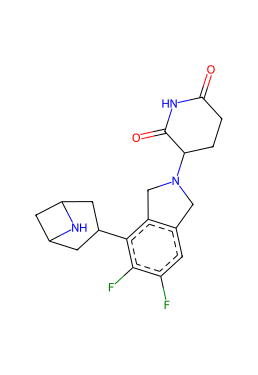 O=C1CCC(N2Cc3cc(F)c(F)c(C4CC5CC(C4)N5)c3C2)C(=O)N1